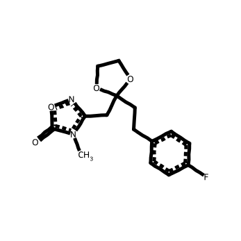 Cn1c(CC2(CCc3ccc(F)cc3)OCCO2)noc1=O